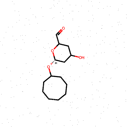 O=CC1CC(O)C[C@H](OC2CCCCCCC2)O1